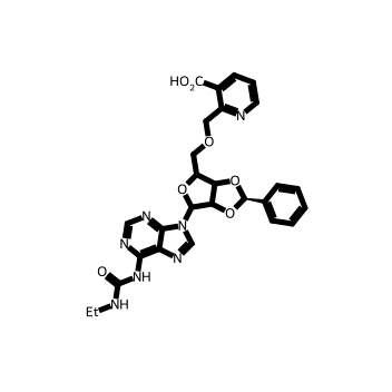 CCNC(=O)Nc1ncnc2c1ncn2C1OC(COCc2ncccc2C(=O)O)C2O[C@@H](c3ccccc3)OC21